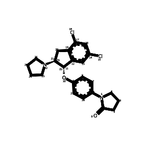 O=C1CCCN1c1ccc(O[C@H]2c3cc(Cl)cc(Cl)c3C[C@@H]2N2CCCC2)cc1